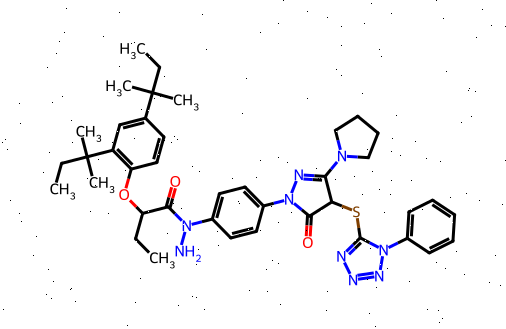 CCC(Oc1ccc(C(C)(C)CC)cc1C(C)(C)CC)C(=O)N(N)c1ccc(N2N=C(N3CCCC3)C(Sc3nnnn3-c3ccccc3)C2=O)cc1